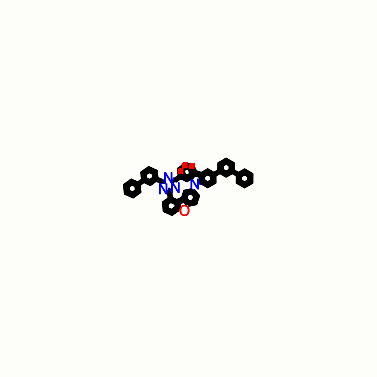 c1ccc(-c2cccc(-c3ccc4c(c3)c3ccccc3n4-c3ccc4oc5cccc(-c6nc(-c7ccccc7)nc(-c7cccc(-c8ccccc8)c7)n6)c5c4c3)c2)cc1